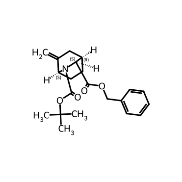 C=C1C[C@H]2CC[C@@H]1N(C(=O)OC(C)(C)C)[C@@H]2C(=O)OCc1ccccc1